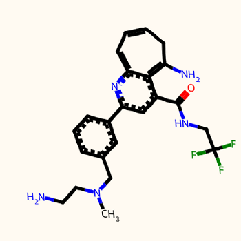 CN(CCN)Cc1cccc(-c2cc(C(=O)NCC(F)(F)F)c3c(n2)=CC=CCC=3N)c1